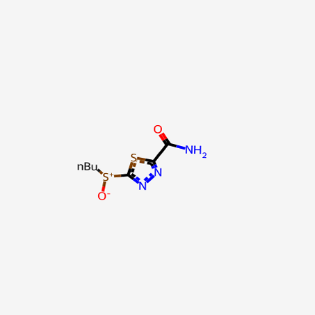 CCCC[S+]([O-])c1nnc(C(N)=O)s1